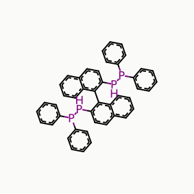 c1ccc(P(Pc2ccc3ccccc3c2-c2c(PP(c3ccccc3)c3ccccc3)ccc3ccccc23)c2ccccc2)cc1